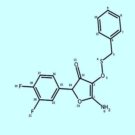 NC1=C(OSCc2ccccc2)C(=O)C(c2ccc(F)c(F)c2)O1